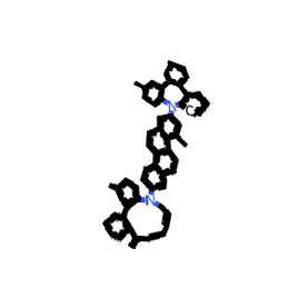 C=C1/C=C\C=C/CN(c2ccc3c(ccc4c3ccc3cc(N5c6ccccc6-c6ccccc6-c6cc(C)ccc65)cc(C)c34)c2)c2ccc(C)cc2-c2ccccc21